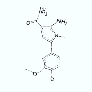 COc1cc(-c2cc(C(N)=O)c(N)n2C)ccc1Cl